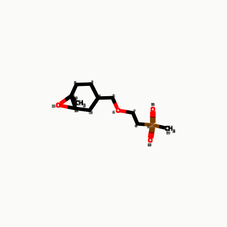 CC12CCC(COCCS(C)(=O)=O)CC1O2